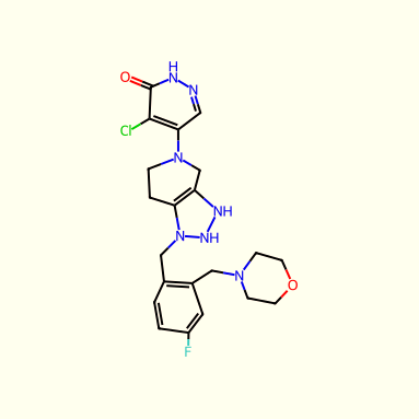 O=c1[nH]ncc(N2CCC3=C(C2)NNN3Cc2ccc(F)cc2CN2CCOCC2)c1Cl